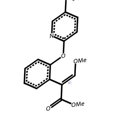 CO/C=C(/C(=O)OC)c1ccccc1Oc1ccc([N+](=O)[O-])cn1